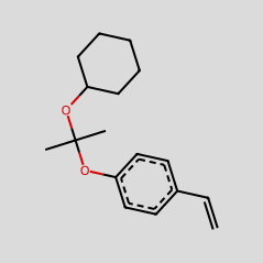 C=Cc1ccc(OC(C)(C)OC2CCCCC2)cc1